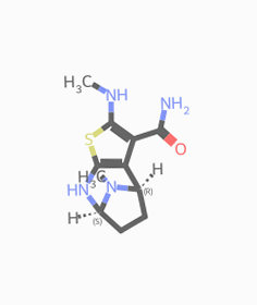 CNc1sc2c(c1C(N)=O)[C@H]1CC[C@@H](N2)N1C